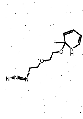 [N-]=[N+]=NCCOCCOC1(F)C=CC=CN1